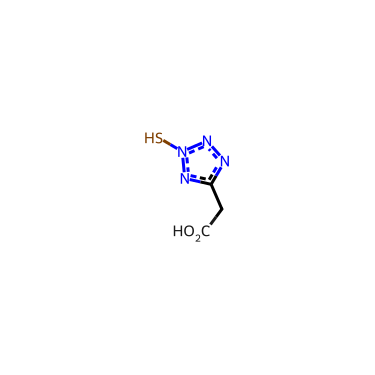 O=C(O)Cc1nnn(S)n1